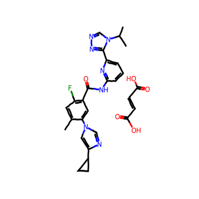 Cc1cc(F)c(C(=O)Nc2cccc(-c3nncn3C(C)C)n2)cc1-n1cnc(C2CC2)c1.O=C(O)C=CC(=O)O